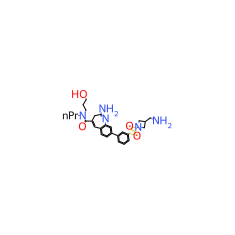 CCCN(CCCO)C(=O)C1=Cc2ccc(-c3cccc(S(=O)(=O)N4CC(CN)C4)c3)cc2N=C(N)C1